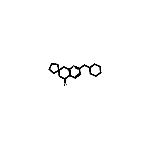 O=C1CC2(CCCC2)Cc2nc(CC3CCCCC3)ccc21